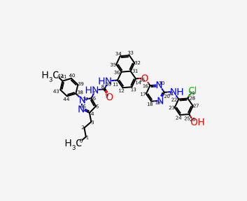 CCCCc1cc(NC(=O)Nc2ccc(Oc3ccnc(Nc4ccc(O)cc4Cl)n3)c3ccccc23)n(-c2ccc(C)cc2)n1